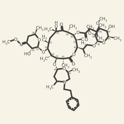 CON=C1C[C@@H](C)O[C@@H](O[C@@H]2[C@@H](C)[C@H](O[C@H]3CC(C)N(CCc4ccccc4)C[C@H](C)O3)[C@@H](C)C(=O)O[C@H](C(C)CO[C@@H]3O[C@H](C)[C@@H](O)[C@@H](OC)[C@H]3OC)[C@H](C)[C@@H](OC(=O)CC(C)C)[C@@H](C)C(=O)[C@@](C)(O)C[C@@H]2C)[C@@H]1O